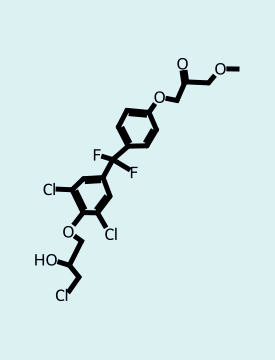 COCC(=O)COc1ccc(C(F)(F)c2cc(Cl)c(OCC(O)CCl)c(Cl)c2)cc1